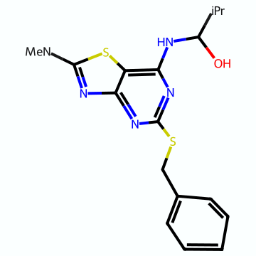 CNc1nc2nc(SCc3ccccc3)nc(NC(O)C(C)C)c2s1